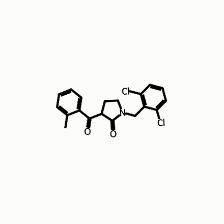 Cc1ccccc1C(=O)C1CCN(Cc2c(Cl)cccc2Cl)C1=O